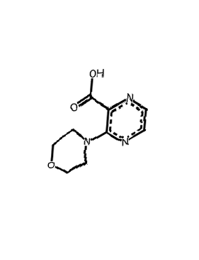 O=C(O)c1nccnc1N1CCOCC1